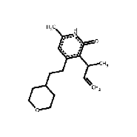 C=CC(C)c1c(CCC2CCOCC2)cc(C)[nH]c1=O